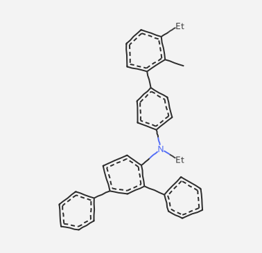 CCc1cccc(-c2ccc(N(CC)c3ccc(-c4ccccc4)cc3-c3ccccc3)cc2)c1C